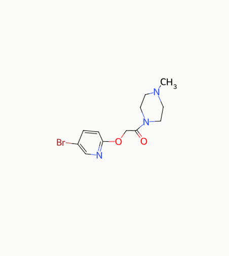 CN1CCN(C(=O)COc2ccc(Br)cn2)CC1